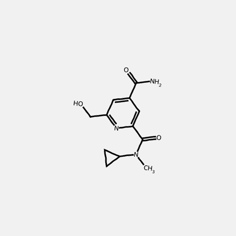 CN(C(=O)c1cc(C(N)=O)cc(CO)n1)C1CC1